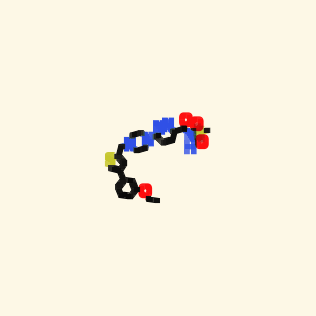 CCOc1cccc(-c2csc(CN3CCN(c4ccc(C(=O)NS(C)(=O)=O)nn4)CC3)c2)c1